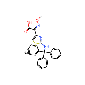 CON=C(C(=O)O)c1csc(NC(c2ccccc2)(c2ccccc2)c2ccccc2)n1.[NaH]